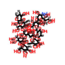 CC1C(O)[C@H](OC2OC(CO)[C@H](O)[C@H](O[C@]3(C(=O)O)C[C@@H](O)[C@@H](N)C([C@H](O)[C@H](O)CO)O3)C2O)[C@H](CO)O[C@H]1O[C@@H]1C(O)[C@H](O)C(CO)O[C@@H]1OCC[C@@H](O)C(O[C@H]1O[C@H](CO)[C@@H](O)C(O)C1O[C@@H]1OC(CO)[C@@H](O)C(O)[C@@H]1C)[C@@H](O)[C@@H](O)O[C@@H]1C(CO)O[C@@H](O[C@@H]2C(CO)O[C@@H](C)[C@@H](C)C2O)[C@@H](C)C1O